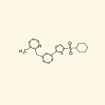 Cc1cccnc1Cc1cccc(-c2ccc(S(=O)(=O)C3CCCCC3)s2)c1